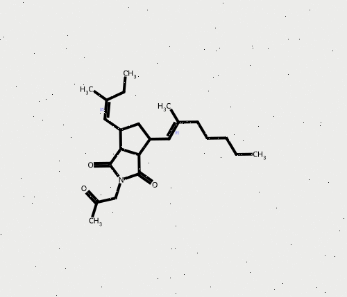 CCCCC/C(C)=C/C1CC(/C=C(/C)CC)C2C(=O)N(CC(C)=O)C(=O)C12